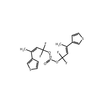 CC(=CC(F)(F)O[PH](=O)OC(F)(F)C=C(C)c1ccsc1)c1ccsc1